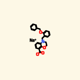 O=C([O-])c1cccc2c1OCCN2Cc1ccccc1OCc1ccccc1.[Na+]